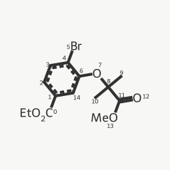 CCOC(=O)c1ccc(Br)c(OC(C)(C)C(=O)OC)c1